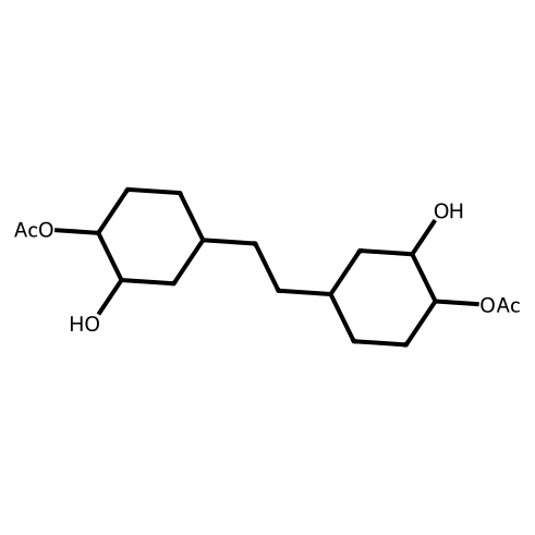 CC(=O)OC1CCC(CCC2CCC(OC(C)=O)C(O)C2)CC1O